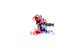 CC(=O)OCC1=C(C(=O)O)N2C(=O)[C@@H](NC(=O)/C(=N\OCC(=O)O)c3csc(N)n3)[C@H]2SC1.[NaH].[NaH]